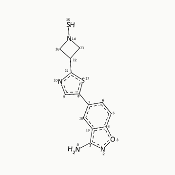 Nc1noc2ccc(-c3cnc(C4CN(S)C4)s3)cc12